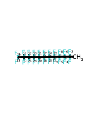 CC(F)(F)C(F)(F)C(F)(F)C(F)(F)C(F)(F)C(F)(F)C(F)(F)C(F)(F)C(F)(F)C(F)(F)[C](F)F